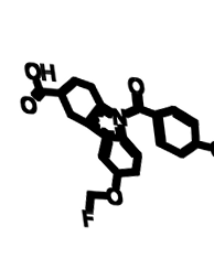 O=C(O)C1CCc2c(c3c(n2C(=O)C2=CCC(Cl)C=C2)=CCC(OCF)C=3)C1